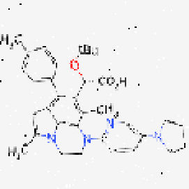 Cc1ccc(-c2c([C@H](OC(C)(C)C)C(=O)O)c(C)c3c4c2cc(C)n4CCN3c2ccc(N3CCCC3)cn2)cc1